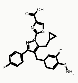 NSC1=CCC(Cc2c(-c3ccc(F)cc3)nn(-c3nc(C(=O)O)cs3)c2CC2CC2)C=C1F